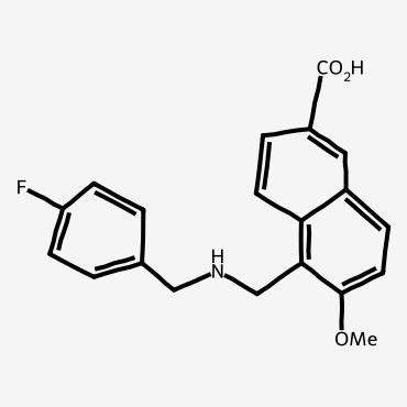 COc1ccc2cc(C(=O)O)ccc2c1CNCc1ccc(F)cc1